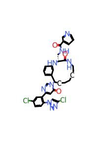 O=C(NC[C@H]1Nc2cccc(c2)[C@@H](n2cnc(-c3cc(Cl)ccc3-n3cc(Cl)nn3)cc2=O)CCCCCCNC1=O)c1cccnc1